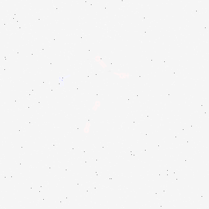 CC1N=c2ccc(F)c(S(=O)(=O)c3ccc(C(F)(F)F)cc3)c2=C1CC(=O)O